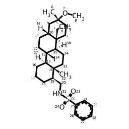 CC[C@]12CC[C@@](C)(OC)C[C@H]1CC[C@@]1(I)[C@@H]3CCC[C@H](CNS(=O)(=O)c4ccccc4)[C@@]3(C)CC[C@@H]12